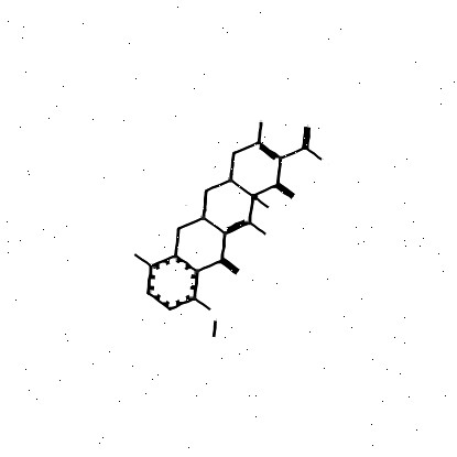 CCCCOc1ccc(C)c2c1C(=O)C1=C(O)C3(O)C(=O)C(C(N)=O)=C(O)C[C@@H]3C[C@@H]1C2